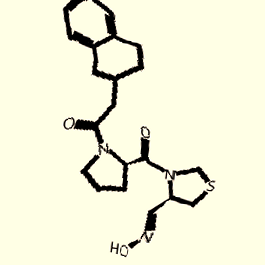 O=C([C@H]1CCCN1C(=O)CC1CCc2ccccc2C1)N1CSC[C@H]1C=NO